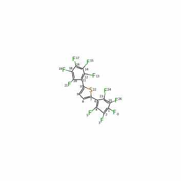 Fc1c(F)c(F)c(-c2ccc(-c3c(F)c(F)c(F)c(F)c3F)s2)c(F)c1F